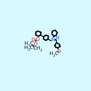 COc1ccc(-c2nc3ccccc3n2Cc2ccc(-c3ccccc3OC(=O)OC(C)(C)C)cc2)cc1